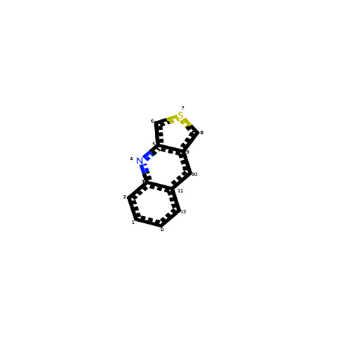 c1ccc2nc3cscc3cc2c1